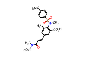 CCCCCCCCN(C)C(=O)C=Cc1cc(C)c(N(C)S(=O)(=O)c2ccc(OC)cc2)c(C(=O)O)c1